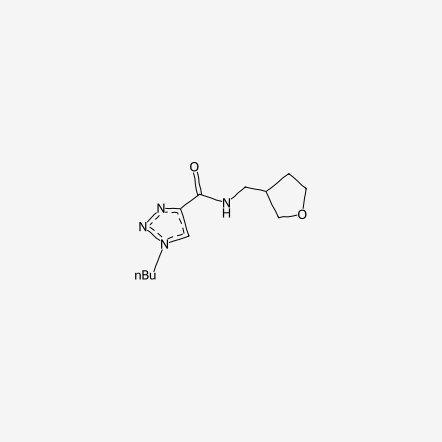 CCCCn1cc(C(=O)NCC2CCOC2)nn1